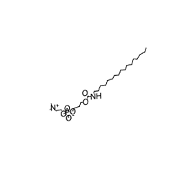 CCCCCCCCCCCCCCCCCNC(=O)OCCCOP(=O)([O-])OCC[N+](C)(C)C